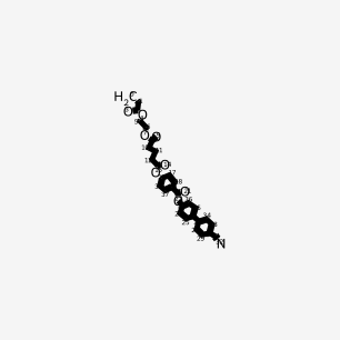 C=CC(=O)OCCOC(=O)CCCC(=O)Oc1ccc(C(=O)Oc2ccc(-c3ccc(C#N)cc3)cc2)cc1